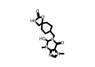 CN1c2ncn(C)c2C(=O)N(CC2CCC3(CC2)CNC(=O)O3)C1O